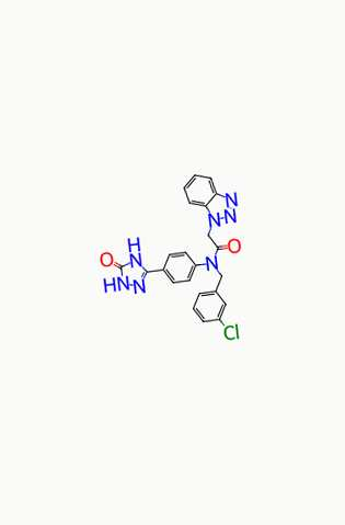 O=C(Cn1nnc2ccccc21)N(Cc1cccc(Cl)c1)c1ccc(-c2n[nH]c(=O)[nH]2)cc1